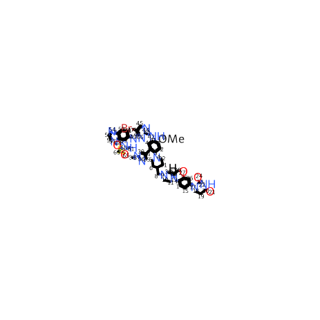 COc1cc(N2CCC(CN3CCN4c5ccc(N6CCC(=O)NC6=O)cc5OC[C@@H]4C3)CC2)c(-c2cnn(C)c2)cc1Nc1ncc(Br)c(Nc2ccc3nccnc3c2N(C)S(C)(=O)=O)n1